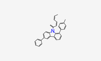 C=C(/C=C\C=C/C)n1c2ccc(-c3ccccc3)cc2c2cccc(-c3ccc(C)cc3)c21